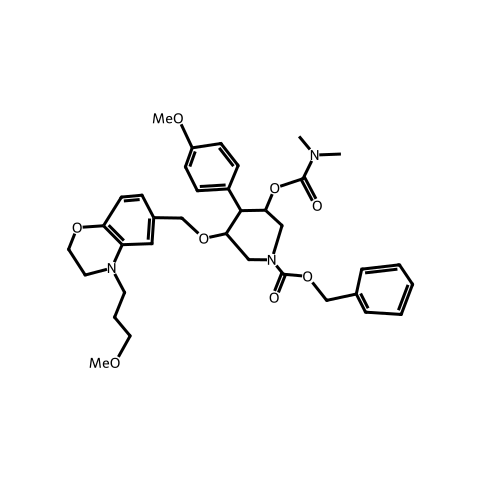 COCCCN1CCOc2ccc(COC3CN(C(=O)OCc4ccccc4)CC(OC(=O)N(C)C)C3c3ccc(OC)cc3)cc21